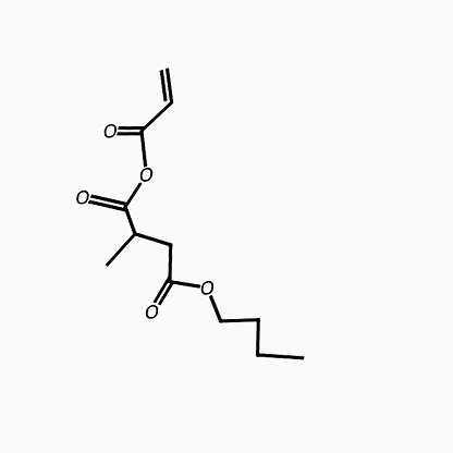 C=CC(=O)OC(=O)C(C)CC(=O)OCCCC